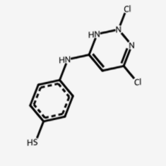 Sc1ccc(NC2=CC(Cl)=NN(Cl)N2)cc1